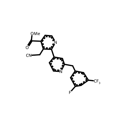 [C-]#[N+]Cc1c(C(=O)OC)ccnc1-c1ccnc(Cc2cc(F)cc(C(F)(F)F)c2)c1